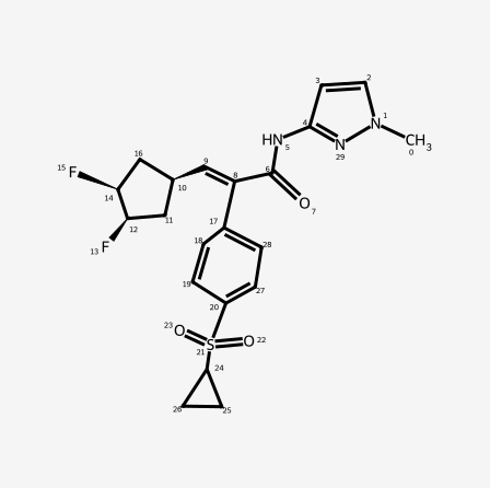 Cn1ccc(NC(=O)/C(=C/[C@H]2C[C@@H](F)[C@@H](F)C2)c2ccc(S(=O)(=O)C3CC3)cc2)n1